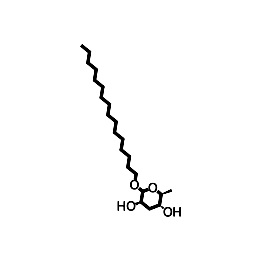 CCCCCCCCCCCCCCCCOC1O[C@@H](C)[C@H](O)C[C@H]1O